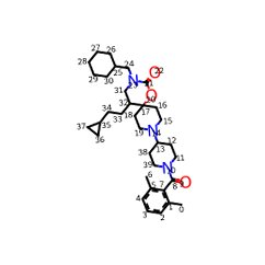 Cc1cccc(C)c1C(=O)N1CCC(N2CCC3(CC2)OC(=O)N(CC2CCCCC2)CC3CCC2CC2)CC1